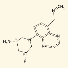 C=NCc1ccc(N2C[C@@H](N)C[C@@H](F)C2)c2nccnc12